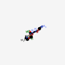 Cc1cc(C)c2cccc(OCc3c(Cl)ccc(S(=O)(=O)N4CCC[C@H]4C(=O)NCCCNC(=O)COc4ccc(C=NN)cc4)c3Cl)c2n1.Cl.Cl